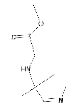 C/N=C\C(C)(C)NCC(=O)OC